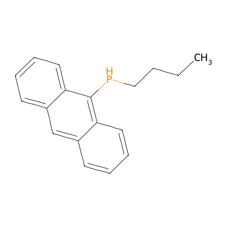 CCCCPc1c2ccccc2cc2ccccc12